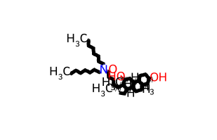 CCCCCCCCN(CCCCCCCC)C(=O)CC[C@@H](C)[C@H]1CC[C@H]2[C@@H]3CC[C@@H]4C[C@H](O)CC[C@]4(C)[C@H]3C[C@H](O)[C@]12C